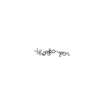 CCOc1ccc(C(=O)NCCc2ccc(S(=O)(=O)NC(=O)c3ccc(OC(=O)OC(CC)CC)nc3)cc2)cc1